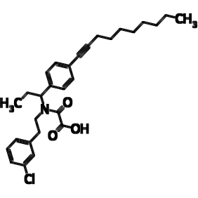 CCCCCCCCC#Cc1ccc(C(CC)N(CCc2cccc(Cl)c2)C(=O)C(=O)O)cc1